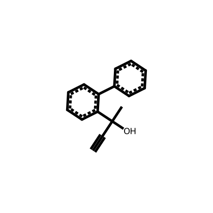 C#CC(C)(O)c1ccccc1-c1ccccc1